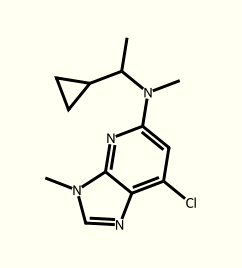 CC(C1CC1)N(C)c1cc(Cl)c2ncn(C)c2n1